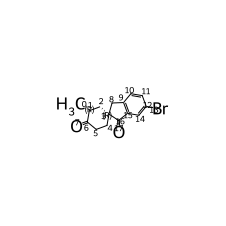 C[C@@H]1C[C@]2(CCC1=O)Cc1ccc(Br)cc1C2=O